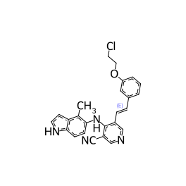 Cc1c(Nc2c(C#N)cncc2/C=C/c2cccc(OCCCl)c2)ccc2[nH]ccc12